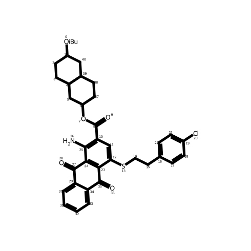 CC(C)COC1CCC2CC(OC(=O)c3cc(SCCc4ccc(Cl)cc4)c4c(c3N)C(=O)c3ccccc3C4=O)CCC2C1